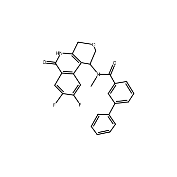 CN(C(=O)c1cccc(-c2ccccc2)c1)C1COCc2[nH]c(=O)c3cc(F)c(F)cc3c21